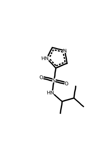 CC(C)C(C)NS(=O)(=O)c1cnc[nH]1